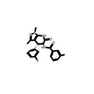 Cc1cccc(C(=O)N[C@H]2C(=O)Nc3c(c(C)nn3C)[C@H]2c2cccc(F)c2)c1